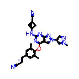 Cc1cc(/C=C/C#N)cc(C)c1Oc1nc(NC23CC(C#N)(C2)C3)nc2nn(-c3cnn(C)c3)cc12